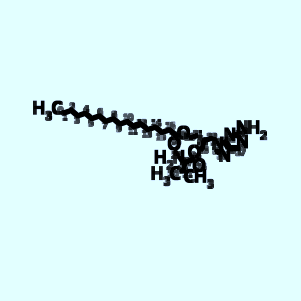 CCCCCCCCCCCC=CCCCCC(=O)OCC[C@@H](COC(=O)[C@@H](N)C(C)C)Cn1cnc2cnc(N)nc21